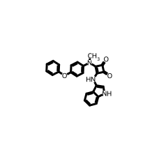 CN(c1ccc(Oc2ccccc2)cc1)c1c(Nc2c[nH]c3ccccc23)c(=O)c1=O